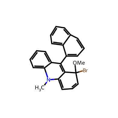 COC1(Br)C=CC=C2C1=C(c1cccc3ccccc13)c1ccccc1N2C